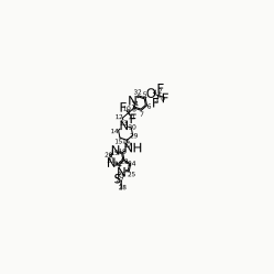 FC(F)(F)Oc1ccc(C(F)(F)CN2CCC(Nc3ncnc4c3ccn4SI)CC2)nc1